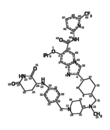 CC(C)Oc1cc2nc(C3CCC(CN(C)C4CCN(Cc5ccc(NC6CCC(=O)NC6=O)cc5)CC4)CC3)cn2cc1C(=O)Nc1cccc(C(F)(F)F)n1